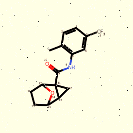 Cc1ccc(C(F)(F)F)cc1NC(=O)C12CC1C1CCC2O1